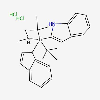 C[SiH](C)[Ti]([c]1cc2ccccc2[nH]1)([CH]1C=Cc2ccccc21)([C](C)(C)C)[C](C)(C)C.Cl.Cl